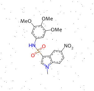 COc1cc(NS(=O)(=O)c2cn(C)c3ccc([N+](=O)[O-])cc23)cc(OC)c1OC